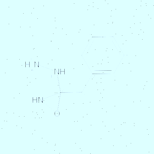 NNC1(Cc2ccccc2)NO1